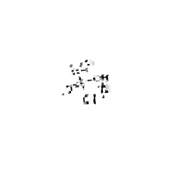 O=P(O)(O)O.[Ni].[Ni]